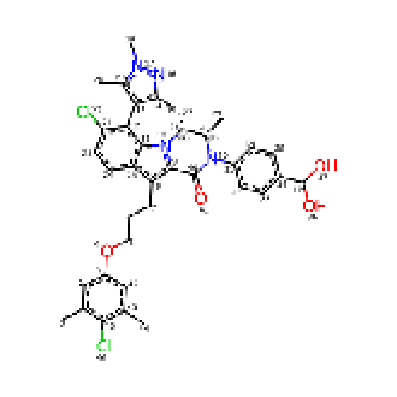 Cc1cc(OCCCc2c3n(c4c(-c5c(C)nn(C)c5C)c(Cl)ccc24)[C@H](C)[C@@H](C)N(c2ccc(C(O)O)cc2)C3=O)cc(C)c1Cl